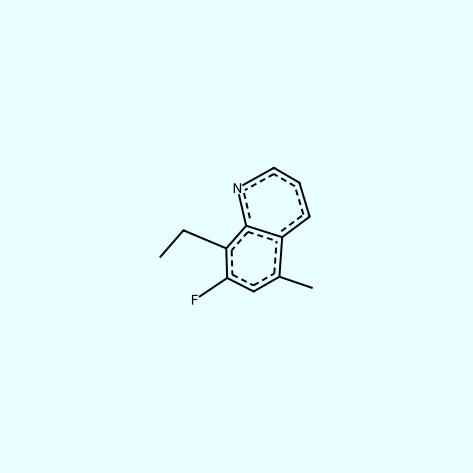 CCc1c(F)cc(C)c2cccnc12